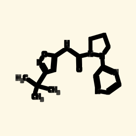 CC(C)(C)c1cc(NC(=O)N2CCCN2c2cnccn2)on1